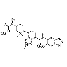 CCN(C(=O)OC(C)(C)C)C1CCN(c2ccc(C(=O)Nc3cc4cn(C)nc4cc3OC)c3nn(C)cc23)C(C)(C)C1